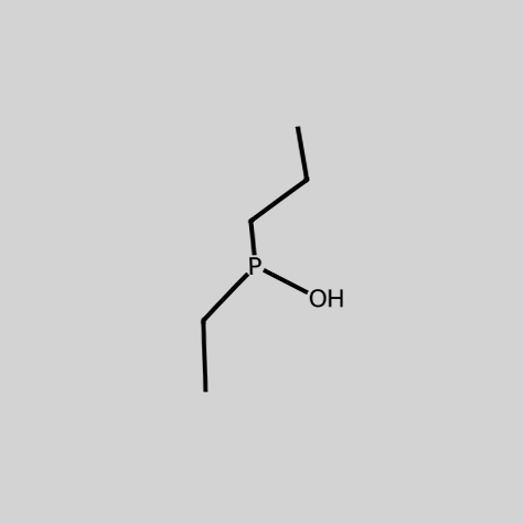 CCCP(O)CC